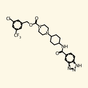 O=C(NC1CCC(N2CCN(C(=O)OCc3cc(Cl)cc(C(F)(F)F)c3)CC2)CC1)c1ccc2[nH]nnc2c1